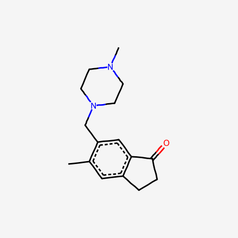 Cc1cc2c(cc1CN1CCN(C)CC1)C(=O)CC2